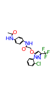 CC(=O)Nc1ccc(NC(=O)COc2cc(C(F)(F)F)nn2-c2ccccc2Cl)cc1